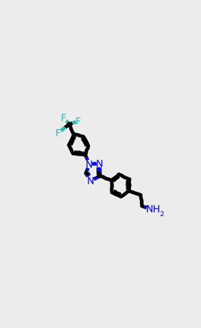 NCCc1ccc(-c2ncn(-c3ccc(C(F)(F)F)cc3)n2)cc1